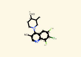 CC1CN(c2c(C#N)cnc3c(F)c(Cl)c(F)cc23)CCC1C=O